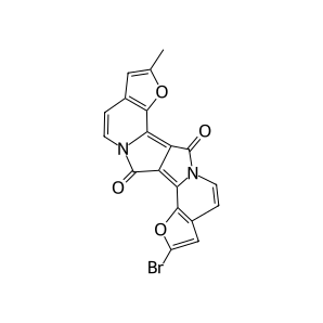 Cc1cc2c(o1)C1=C3C(=O)N4C=Cc5cc(Br)oc5C4=C3C(=O)N1C=C2